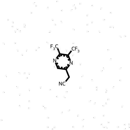 N#CCc1cnc(C(F)(F)F)c(C(F)(F)F)n1